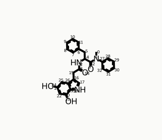 CN(C(=O)C(Cc1ccccc1)NC(=O)Cc1c[nH]c2c(O)cc(O)cc12)c1ccccc1